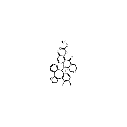 COC(=O)Oc1c2n(ccc1=O)N([C@@H]1c3ccccc3-c3occc3-c3c1ccc(F)c3F)[C@@H]1COCCN1C2=O